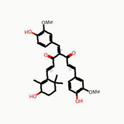 COc1cc(/C=C(\C(=O)/C=C/C2=C(C)C(O)CCC2(C)C)C(=O)/C=C/c2ccc(O)c(OC)c2)ccc1O